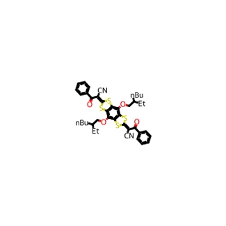 CCCCC(CC)COc1c2c(c(OCC(CC)CCCC)c3c1SC(=C(C#N)C(=O)c1ccccc1)S3)SC(=C(C#N)C(=O)c1ccccc1)S2